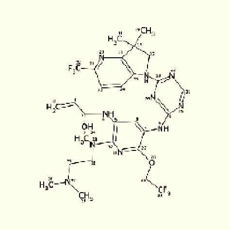 C=CC(O)Nc1cc(Nc2ncnc(N3CC(C)(C)c4nc(C(F)(F)F)ccc43)n2)c(OCC(F)(F)F)nc1N(C)CCN(C)C